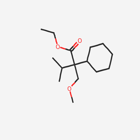 CCOC(=O)C(COC)(C(C)C)C1CCCCC1